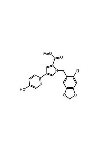 COC(=O)c1cc(-c2ccc(O)cc2)cn1Cc1cc2c(cc1Cl)OCO2